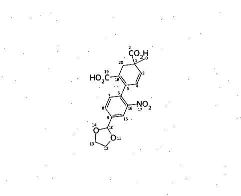 CC1(C(=O)O)C=CC(c2ccc(C3OCCO3)cc2[N+](=O)[O-])=C(C(=O)O)C1